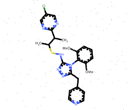 COc1cccc(OC)c1-n1c(Cc2ccncc2)nnc1NSC(C)C(C)c1ncc(Cl)cn1